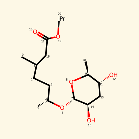 CC(CC[C@@H](C)O[C@@H]1O[C@@H](C)[C@H](O)C[C@H]1O)CC(=O)OC(C)C